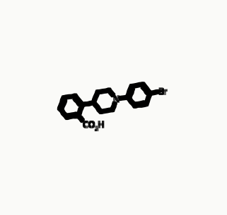 O=C(O)c1ccccc1C1CCN(c2ccc(Br)cc2)CC1